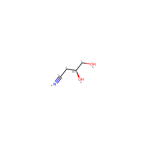 N#CC[C@H](O)CO